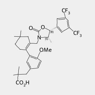 COc1ccc(CC(C)(C)C(=O)O)cc1C1=C(CN2C(=O)O[C@H](c3cc(C(F)(F)F)cc(C(F)(F)F)c3)[C@@H]2C)CC(C)(C)CC1